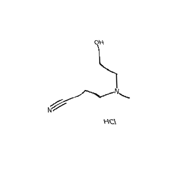 CN(CCO)CCC#N.Cl